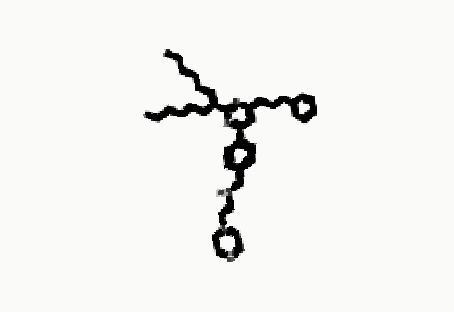 CCCCCCC(CCCCCC)c1nc(CCCc2ccccc2)cc(-c2ccc(CNCCN3CCOCC3)cc2)n1